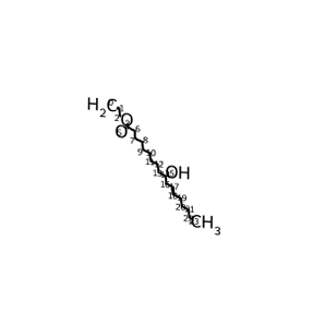 C=CCOC(=O)CCCCCCCCC(O)CC=CCCCCC